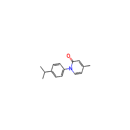 Cc1ccn(-c2ccc(C(C)C)cc2)c(=O)c1